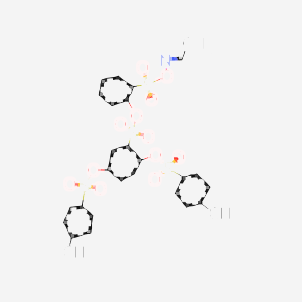 CC=NOS(=O)(=O)c1ccccc1OS(=O)(=O)c1cc(OS(=O)(=O)c2ccc(C)cc2)ccc1OS(=O)(=O)c1ccc(C)cc1